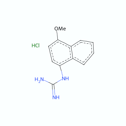 COc1ccc(NC(=N)N)c2ccccc12.Cl